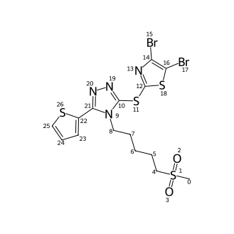 CS(=O)(=O)CCCCCn1c(Sc2nc(Br)c(Br)s2)nnc1-c1cccs1